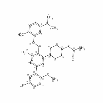 Cc1ccc(C(C)C)cc1OCc1c(C)nc(-c2cc(F)ccc2CN)nc1N1CCN(CC(N)=O)CC1